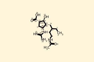 CCC(CCNC(C)=O)C[C@H]1[C@H](O)[C@@H](C(=O)O)C[C@H]1NC(=N)N